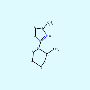 CC1CCC(C2CCCCC2C)=N1